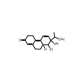 CCCC1(C(C)OC(C)=O)C=CC2=C3CCC(=O)C=C3CC[C@H]2C1CC